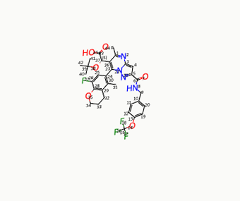 Cc1nc2cc(C(=O)NCc3ccc(OC(F)(F)F)cc3)nn2c(-c2cc(F)c3c(c2C)CCCO3)c1[C@H](OC(C)(C)C)C(=O)O